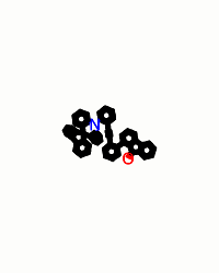 O=C1c2ccccc2-c2cccc(-c3ccccc3C#Cc3ccccc3N3c4ccccc4C4(c5ccccc5-c5ccccc54)c4ccccc43)c21